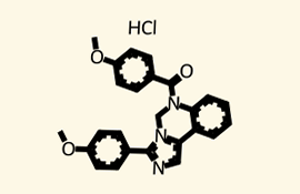 COc1ccc(C(=O)N2Cn3c(cnc3-c3ccc(OC)cc3)-c3ccccc32)cc1.Cl